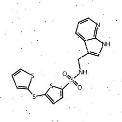 O=S(=O)(NCc1c[nH]c2ncccc12)c1ccc(Sc2cccs2)s1